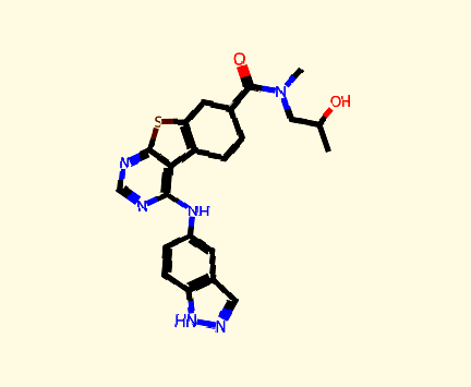 CC(O)CN(C)C(=O)C1CCc2c(sc3ncnc(Nc4ccc5[nH]ncc5c4)c23)C1